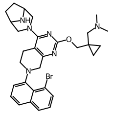 CN(C)CC1(COc2nc3c(c(N4CC5CCC(C4)N5)n2)CCN(c2cccc4cccc(Br)c24)C3)CC1